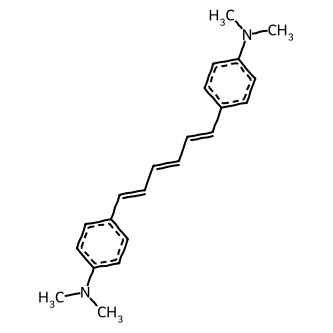 CN(C)c1ccc(C=CC=CC=Cc2ccc(N(C)C)cc2)cc1